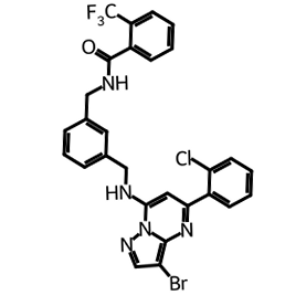 O=C(NCc1cccc(CNc2cc(-c3ccccc3Cl)nc3c(Br)cnn23)c1)c1ccccc1C(F)(F)F